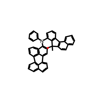 CC1(C)c2ccc3ccccc3c2-c2cccc(N(c3ccccc3)c3ccc(-c4cccc5cccc(-c6ccccc6)c45)cc3)c21